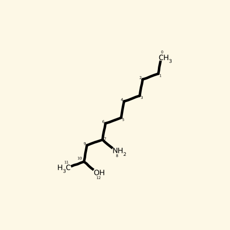 CCCCCCCC(N)CC(C)O